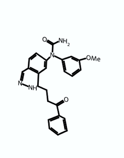 COc1cccc(N(C(N)=O)c2ccc3c(c2)C(CCC(=O)c2ccccc2)NN=C3)c1